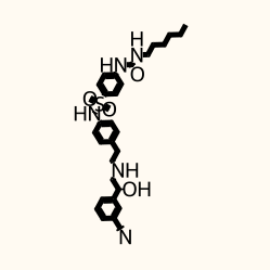 CCCCCCNC(=O)Nc1ccc(S(=O)(=O)Nc2ccc(CCNC[C@H](O)c3cccc(C#N)c3)cc2)cc1